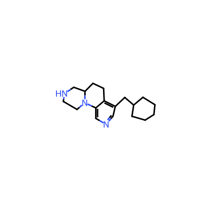 c1ncc2c(c1CC1CCCCC1)CCC1CNCCN21